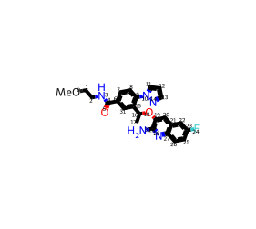 COCCNC(=O)c1ccc(-n2cccn2)c(C(C)Oc2cc3cc(F)ccc3nc2N)c1